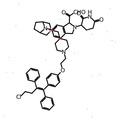 O=CC(=O)C1c2cc(N3C4CCC3CN(CC3CCN(CCOc5ccc(C(=C(CCCl)c6ccccc6)c6ccccc6)cc5)CC3)C4)ccc2CN1C1CCC(=O)NC1=O